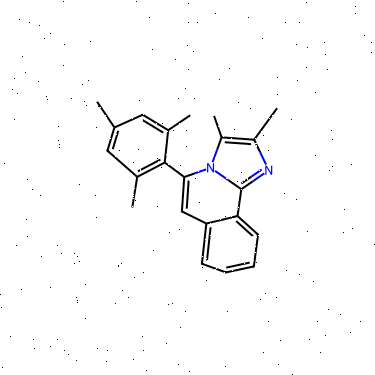 Cc1cc(C)c(-c2cc3ccccc3c3nc(C)c(C)n23)c(C)c1